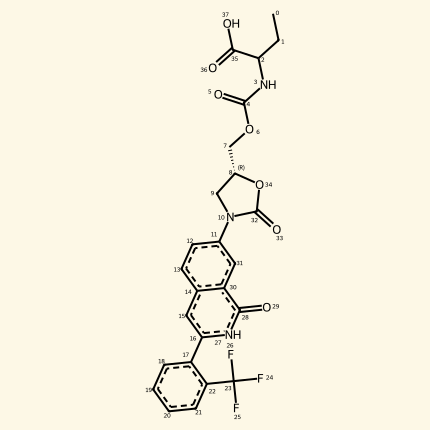 CCC(NC(=O)OC[C@H]1CN(c2ccc3cc(-c4ccccc4C(F)(F)F)[nH]c(=O)c3c2)C(=O)O1)C(=O)O